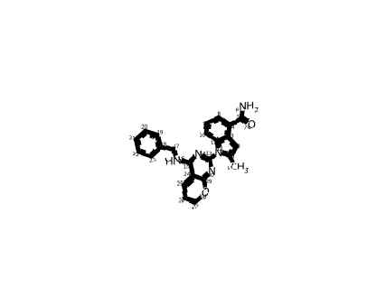 Cc1cc2c(C(N)=O)cccc2n1C1=NC(NCc2ccccc2)C2=CCCOC2=N1